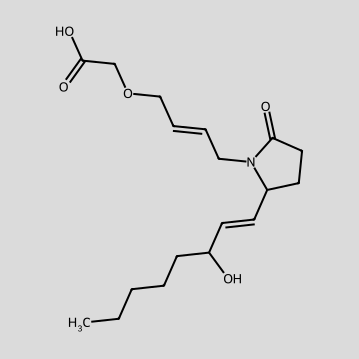 CCCCCC(O)C=CC1CCC(=O)N1CC=CCOCC(=O)O